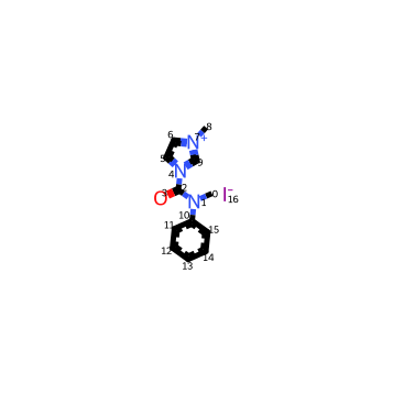 CN(C(=O)n1cc[n+](C)c1)c1ccccc1.[I-]